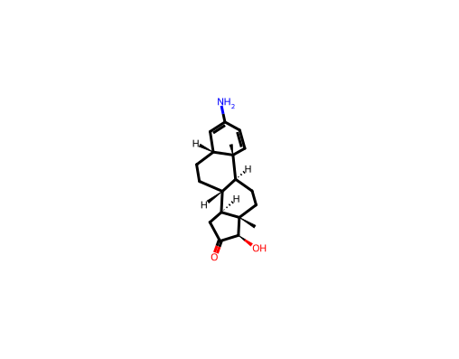 C[C@]12C=CC(N)=C[C@H]1CC[C@@H]1[C@@H]2CC[C@]2(C)[C@@H](O)C(=O)C[C@@H]12